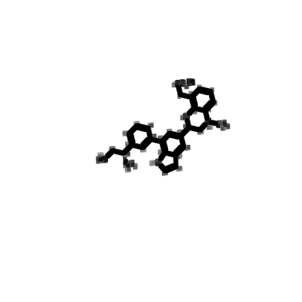 CCOC(=O)Cc1cccc2c1OC(c1cc(-c3cccc([C@H](N)CO)c3)c3occc3c1)CN2C